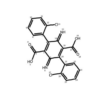 N=C1C(C(=O)O)=C(c2ccccc2Cl)C(=N)C(C(=O)O)=C1c1ccccc1Cl